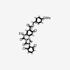 CCN(C(=O)n1nnn(-c2c(Cl)cccc2Cl)c1=O)c1ccc(Cl)c(C(=O)OCc2ccc(OC)cc2)c1